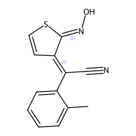 Cc1ccccc1/C(C#N)=C1\C=CS\C1=N/O